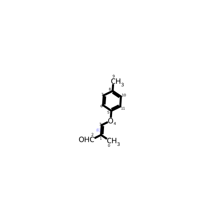 C/C(C=O)=C\Oc1ccc(C)cc1